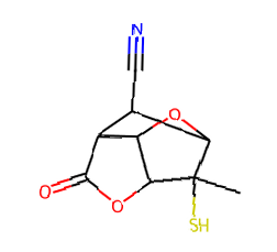 CC1(S)C2OC3C(C(=O)OC31)C2C#N